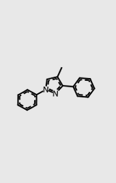 Cc1cn(-c2ccccc2)nc1-c1ccccc1